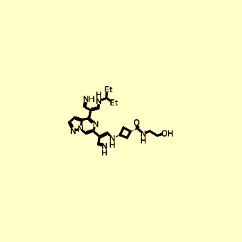 CCC(CC)N/C=C(\C=N)c1nc(/C(C=N)=C/N[C@H]2C[C@@H](C(=O)NCCO)C2)cn2nccc12